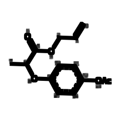 C=CCOC(=O)C(C)Oc1ccc(OC(C)=O)cc1